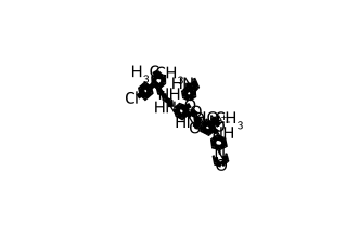 CC1(C)CCC(CNCCNc2ccc(C(=O)NS(=O)(=O)c3ccc(N[C@H]4CC[C@H](N5CCOCC5)CC4)c([N+](C)([O-])O)c3)c(Oc3ccc4[nH]ccc4c3)c2)=C(c2ccc(Cl)cc2)C1